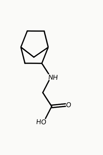 O=C(O)CNC1CC2CCC1C2